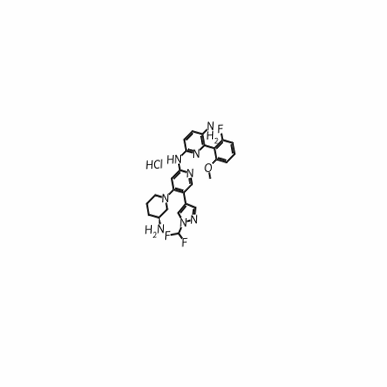 COc1cccc(F)c1-c1nc(Nc2cc(N3CCC[C@H](N)C3)c(-c3cnn(C(F)F)c3)cn2)ccc1N.Cl